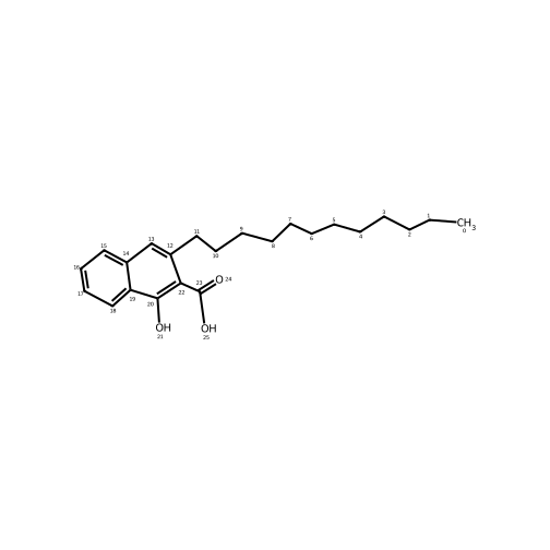 CCCCCCCCCCCCc1cc2ccccc2c(O)c1C(=O)O